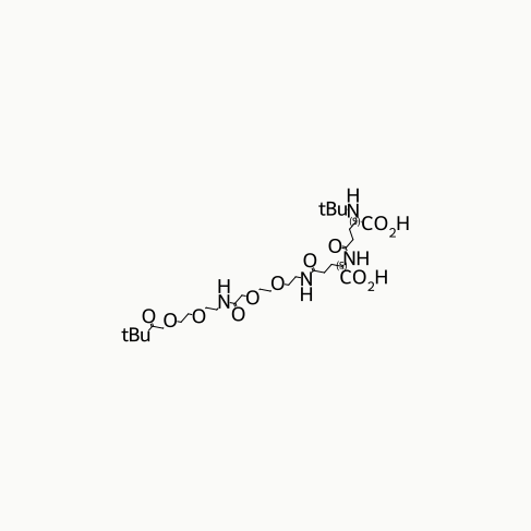 CC(C)(C)N[C@@H](CCC(=O)N[C@@H](CCC(=O)NCCOCCOCC(=O)NCCOCCOCC(=O)C(C)(C)C)C(=O)O)C(=O)O